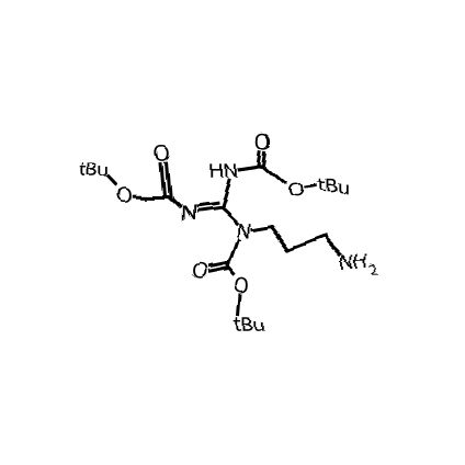 CC(C)(C)OC(=O)N=C(NC(=O)OC(C)(C)C)N(CCCN)C(=O)OC(C)(C)C